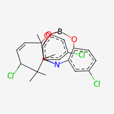 CC12C=CC(Cl)C(C)(C)C1(C)N1c3cc(Cl)ccc3OB(Oc3ccc(Cl)cc31)O2